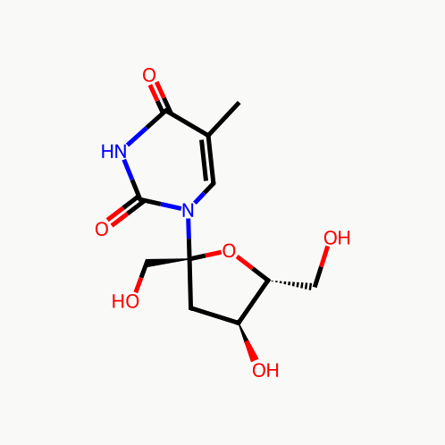 Cc1cn([C@@]2(CO)C[C@H](O)[C@@H](CO)O2)c(=O)[nH]c1=O